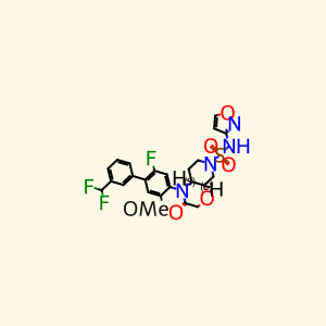 COc1cc(-c2cccc(C(F)F)c2)c(F)cc1N1C(=O)CO[C@H]2CN(S(=O)(=O)Nc3ccon3)CC[C@@H]21